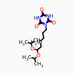 CC(C)OC(C[SiH2]CCCn1c(=O)[nH]c(=O)[nH]c1=O)OC(C)C